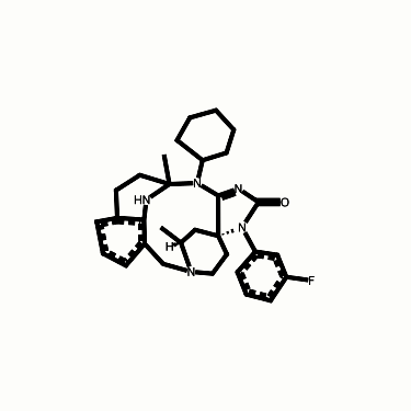 C[C@H]1C[C@]23CCN1Cc1cccc4c1NC(C)(CC4)N(C1CCCCC1)C2=NC(=O)N3c1cccc(F)c1